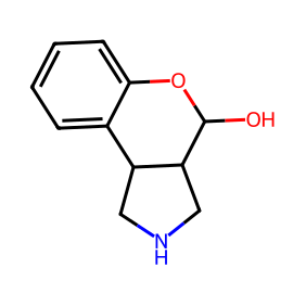 OC1Oc2ccccc2C2CNCC12